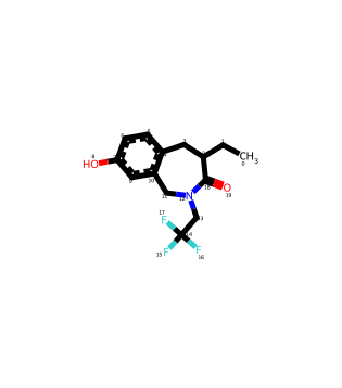 CCC1Cc2ccc(O)cc2CN(CC(F)(F)F)C1=O